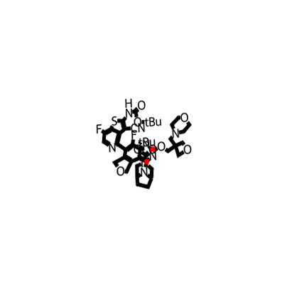 CC(C)(C)OC(=O)Nc1sc2c(F)cnc(-c3c4c(c5c(N6C7CCC6CN(C(=O)OC(C)(C)C)C7)nc(OCC6(CN7CCOCC7)COC6)nc5c3F)COC4)c2c1C#N